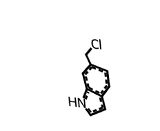 ClCc1ccc2cc[nH]c2c1